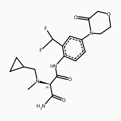 CN(CC1CC1)[C@H](C(N)=O)C(=O)Nc1ccc(N2CCOCC2=O)cc1C(F)F